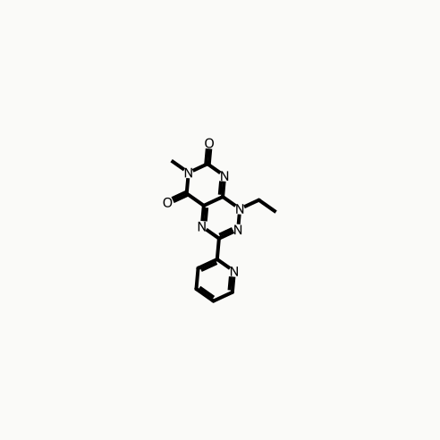 CCn1nc(-c2ccccn2)nc2c(=O)n(C)c(=O)nc1-2